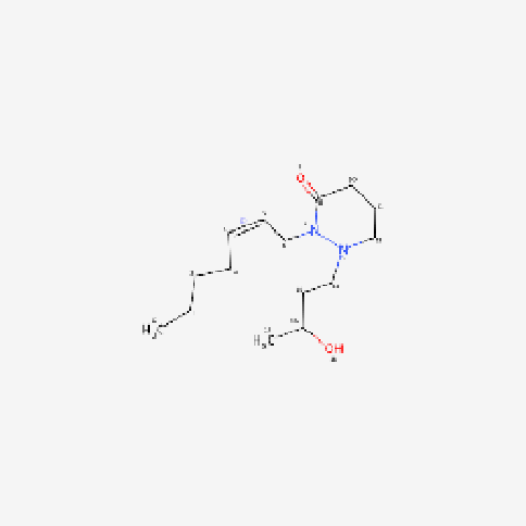 CCCC/C=C\CN1C(=O)CCCN1CCC(C)O